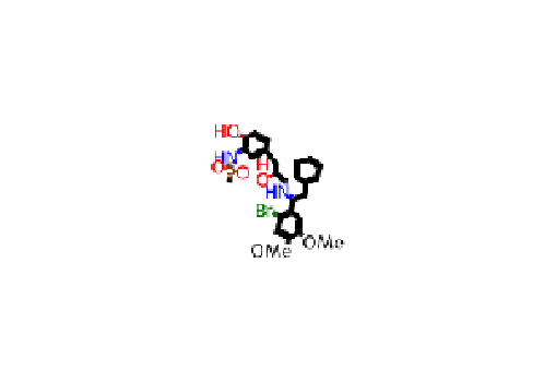 COc1cc(Br)c(C(Cc2ccccc2)NC[C@@H](O)Cc2ccc(O)c(NS(C)(=O)=O)c2)cc1OC